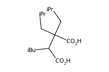 CCC(C)C(C(=O)O)C(CC(C)C)(CC(C)C)C(=O)O